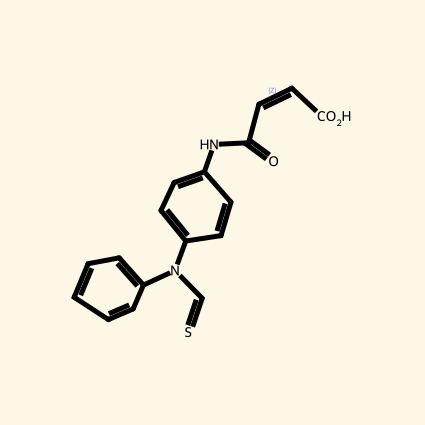 O=C(O)/C=C\C(=O)Nc1ccc(N(C=S)c2ccccc2)cc1